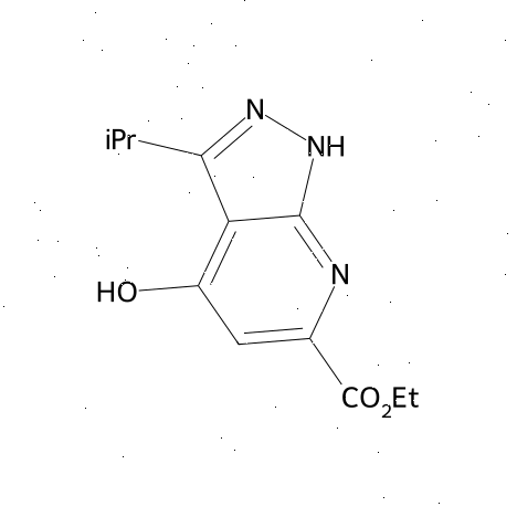 CCOC(=O)c1cc(O)c2c(C(C)C)n[nH]c2n1